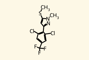 CSc1cc(-c2c(Cl)cc(C(F)(F)F)cc2Cl)nn1C